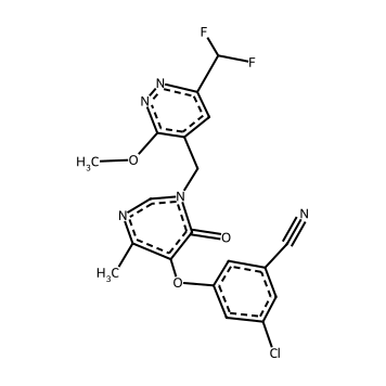 COc1nnc(C(F)F)cc1Cn1cnc(C)c(Oc2cc(Cl)cc(C#N)c2)c1=O